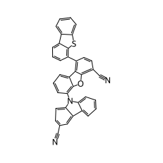 N#Cc1ccc2c(c1)c1ccccc1n2-c1cccc2c1oc1c(C#N)ccc(-c3cccc4c3sc3ccccc34)c12